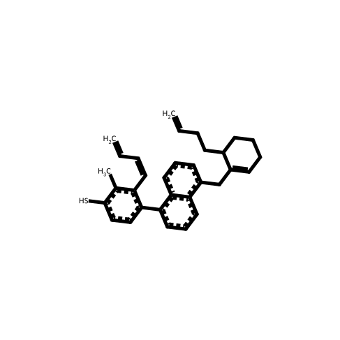 C=C/C=C\c1c(-c2cccc3c(CC4=CCCCC4CCC=C)cccc23)ccc(S)c1C